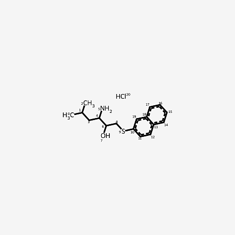 CC(C)CC(N)C(O)CSc1ccc2ccccc2c1.Cl